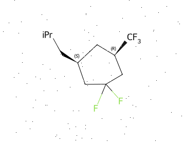 CC(C)C[C@H]1C[C@@H](C(F)(F)F)CC(F)(F)C1